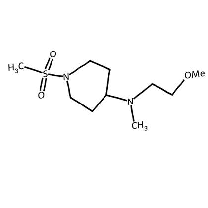 COCCN(C)C1CCN(S(C)(=O)=O)CC1